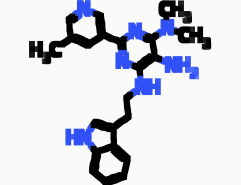 Cc1cncc(-c2nc(NCCc3c[nH]c4ccccc34)c(N)c(N(C)C)n2)c1